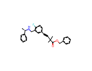 C[C@@H](NCc1cc(C#CC(C)(C)C(=O)OCc2ccccc2)ccc1F)c1ccccc1